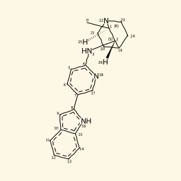 C[C@@H]1[C@@H](Nc2ccc(-c3cc4ccccc4[nH]3)cn2)C2CCN1CC2